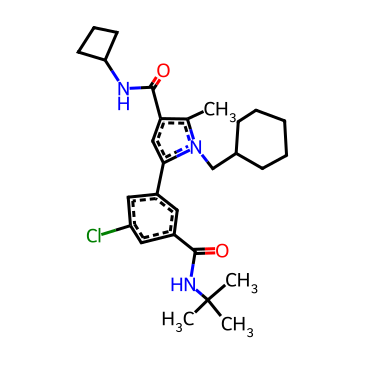 Cc1c(C(=O)NC2CCC2)cc(-c2cc(Cl)cc(C(=O)NC(C)(C)C)c2)n1CC1CCCCC1